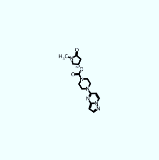 CN1C[C@@H](OC(=O)N2CCN(c3ccn4nccc4n3)CC2)CC1=O